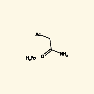 CC(=O)CC(N)=O.[PoH2]